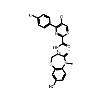 CN1C(=O)[C@@H](NC(=O)c2ncc(Cl)c(-c3ccc(Cl)cc3)n2)COc2cc(C#N)ccc21